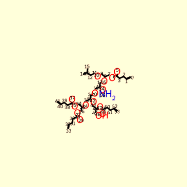 C=CCCC(=O)OCC(COCCC(C)C)OCC(COCC(COC(COC(=O)CCC=C)COC(=O)CCC=C)OCC(CO)OC(=O)CCC=C)ON